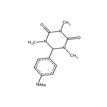 CNc1ccc(C2N(C)C(=O)N(C)C(=O)N2C)cc1